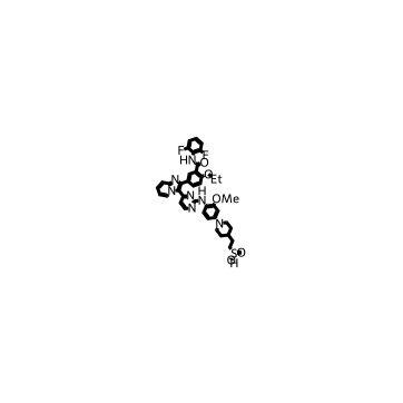 CCOc1ccc(-c2nc3ccccn3c2-c2ccnc(Nc3ccc(N4CCC(CC[SH](=O)=O)CC4)cc3OC)n2)cc1C(=O)Nc1c(F)cccc1F